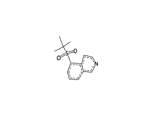 CC(C)(C)S(=O)(=O)c1cccc2cnccc12